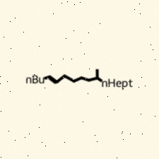 [CH2]CCCC=CCCCCC(C)CCCCCC[CH2]